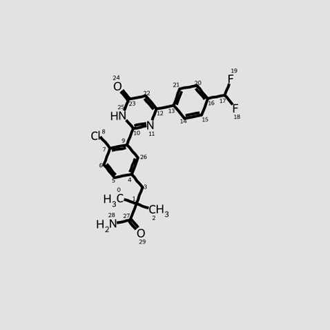 CC(C)(Cc1ccc(Cl)c(-c2nc(-c3ccc(C(F)F)cc3)cc(=O)[nH]2)c1)C(N)=O